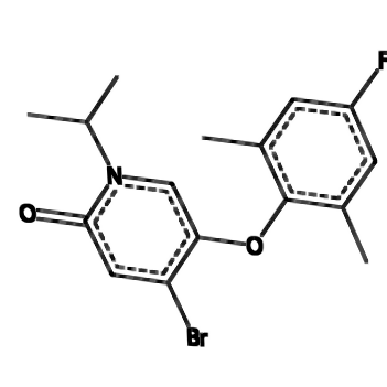 Cc1cc(F)cc(C)c1Oc1cn(C(C)C)c(=O)cc1Br